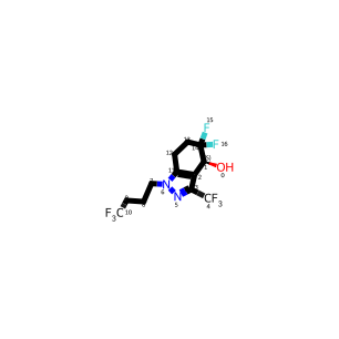 O[C@H]1c2c(C(F)(F)F)nn(CCCC(F)(F)F)c2CCC1(F)F